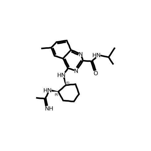 CC(=N)N[C@@H]1CCCC[C@@H]1Nc1nc(C(=O)NC(C)C)nc2ccc(C)cc12